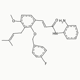 COc1ccc(/C=C/C(=O)Nc2ccccc2N)c(OCc2ccc(F)cc2)c1CC=C(C)C